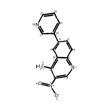 Cc1c([N+](=O)[O-])cnc2ccc(-c3cccnc3)cc12